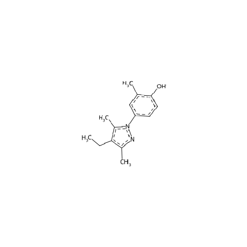 CCc1c(C)nn(-c2ccc(O)c(C)c2)c1C